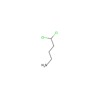 [SiH3]CCCC(Cl)Cl